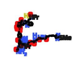 CSc1ncc(C#CCCCC(=O)NCCOCCNC(=O)COCC(=O)N[C@H](C(=O)N[C@@H](CCCNC(N)=O)C(=O)Nc2ccc(COC(=O)O[C@@H]3C(=O)OCc4c3cc3n(c4=O)Cc4c-3nc3ccccc3c4CCN([SH]=O)C(C)C)cc2)C(C)C)cn1